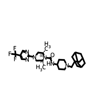 C[C@@H]1CN(c2ncc(C(F)(F)F)cn2)C[C@H](C)N1C(=O)NC1CCN(CC23CC4CC(CC(C4)C2)C3)CC1